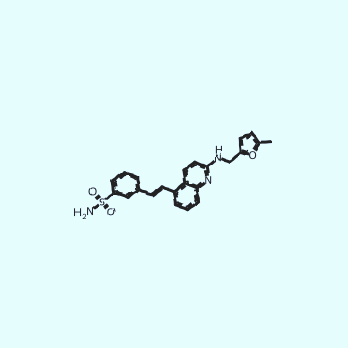 Cc1ccc(CNc2ccc3c(/C=C/c4cccc(S(N)(=O)=O)c4)cccc3n2)o1